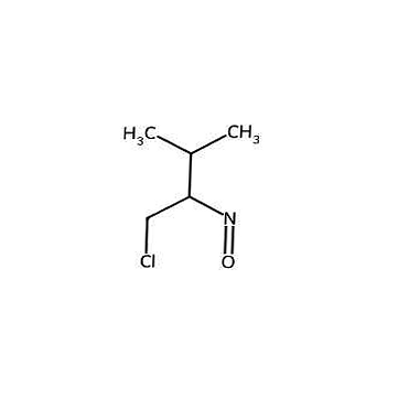 CC(C)C(CCl)N=O